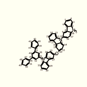 Cn1c2ccccc2c2cc(-n3c4ccccc4c4cc(Oc5ccc6c(c5)c5ccccc5n6-c5cc(-c6ccccc6)cc(-c6ccccc6)c5)ccc43)ccc21